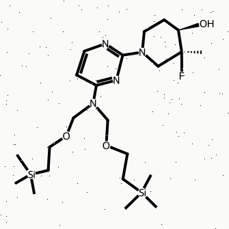 C[C@]1(F)CN(c2nccc(N(COCC[Si](C)(C)C)COCC[Si](C)(C)C)n2)CC[C@H]1O